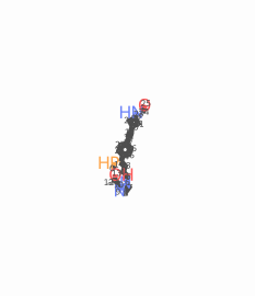 CP/C(=C\CCn1ccnc1[C@H](C)O)c1ccc(C#CC2CC(NC=O)C2)cc1